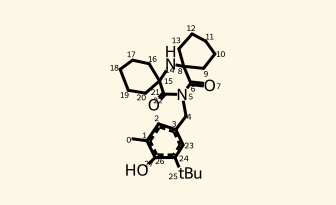 Cc1cc(CN2C(=O)C3(CCCCC3)NC3(CCCCC3)C2=O)cc(C(C)(C)C)c1O